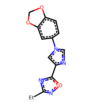 CCc1noc(-c2cn(-c3ccc4c(c3)OCO4)cn2)n1